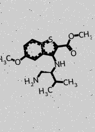 COC(=O)c1sc2ccc(OC)cc2c1N[C@H](CN)C(C)C